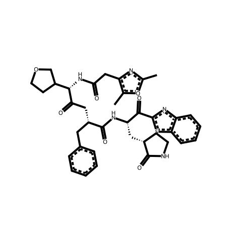 Cc1nc(CC(=O)N[C@H](C(=O)C[C@@H](Cc2ccccc2)C(=O)N[C@@H](C[C@@H]2CCNC2=O)C(=O)c2nc3ccccc3s2)C2CCOC2)c(C)o1